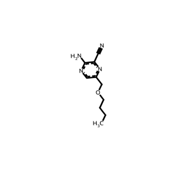 CCCCOCc1cnc(N)c(C#N)n1